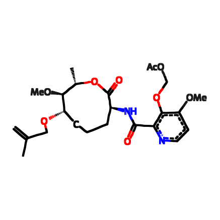 C=C(C)CO[C@H]1CCC[C@H](NC(=O)c2nccc(OC)c2OCOC(C)=O)C(=O)O[C@@H](C)[C@@H]1OC